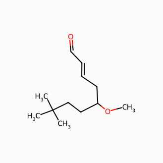 COC(CC=CC=O)CCC(C)(C)C